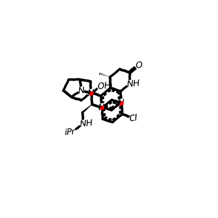 CC(C)NC[C@H](c1ccc(Cl)cc1)C(O)N1C2CCC1CN(c1ncnc3c1[C@H](C)CC(=O)N3)C2